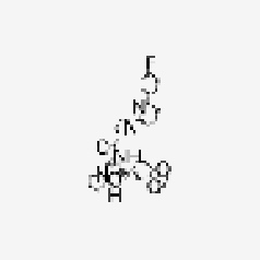 O=C(N[C@H](CN1CCCC1)[C@H](O)c1ccc2c(c1)OCCO2)C1CCN(c2cccc(-c3ccc(F)cc3)n2)C1